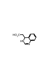 O=C(O)CC1NC=Nc2ccccc21